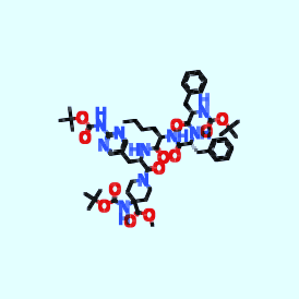 CCCC[C@@H](NC(=O)[C@@H](Cc1ccccc1)NC(=O)[C@@H](Cc1ccccc1)NC(=O)OC(C)(C)C)C(=O)N[C@H](Cc1cnc(NC(=O)OC(C)(C)C)nc1)C(=O)N1CCC(NC(=O)OC(C)(C)C)(C(=O)OC)CC1